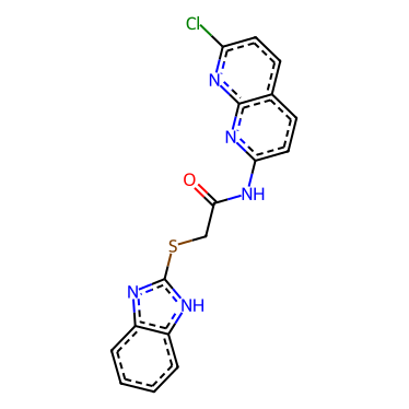 O=C(CSc1nc2ccccc2[nH]1)Nc1ccc2ccc(Cl)nc2n1